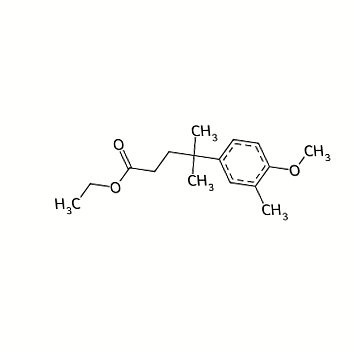 CCOC(=O)CCC(C)(C)c1ccc(OC)c(C)c1